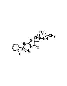 CC(C)NC(=O)CC1(C)SC(N[C@@H](C)c2ccccc2F)=NC1=O